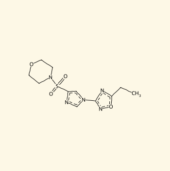 CCc1nc(-n2cnc(S(=O)(=O)N3CCOCC3)c2)no1